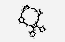 C1=Cc2cc3[nH]c(cc4nc(cc5ccc(cc1n2)[nH]5)C=C4)c(-c1ccsc1)c3-c1ccsc1